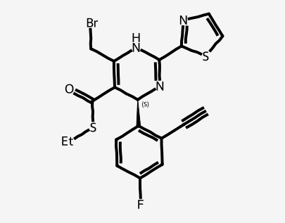 C#Cc1cc(F)ccc1[C@@H]1N=C(c2nccs2)NC(CBr)=C1C(=O)SCC